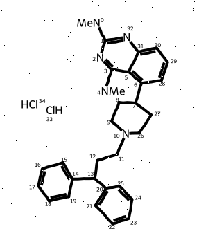 CNc1nc(NC)c2c(C3CCN(CCC(c4ccccc4)c4ccccc4)CC3)cccc2n1.Cl.Cl